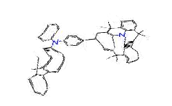 CC1(C)C2=CCCC3=C2N2C4=C(CC(c5ccc(N(c6ccccc6)c6ccc7c(c6)C(C)(C)c6ccccc6-7)cc5)C=C41)C(C)(C)c1cccc(c12)C3(C)C